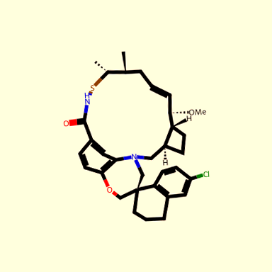 CO[C@H]1/C=C/C[C@H](C)[C@@H](C)SNC(=O)c2ccc3c(c2)N(C[C@@H]2CC[C@H]21)C[C@@]1(CCCc2cc(Cl)ccc21)CO3